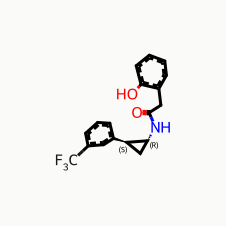 O=C(Cc1ccccc1O)N[C@@H]1C[C@H]1c1cccc(C(F)(F)F)c1